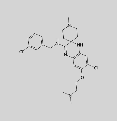 CN(C)CCOc1cc2c(cc1Cl)NC1(CCN(C)CC1)C(NCc1cccc(Cl)c1)=N2